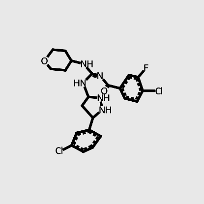 O=C(/N=C(/NC1CCOCC1)NC1CC(c2cccc(Cl)c2)NN1)c1ccc(Cl)c(F)c1